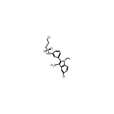 CCn1c(-c2cccc(NS(=O)(=O)CCCCl)c2)c(N)c2cc(Cl)ccc21